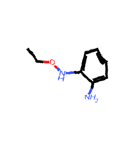 CCONc1ccccc1N